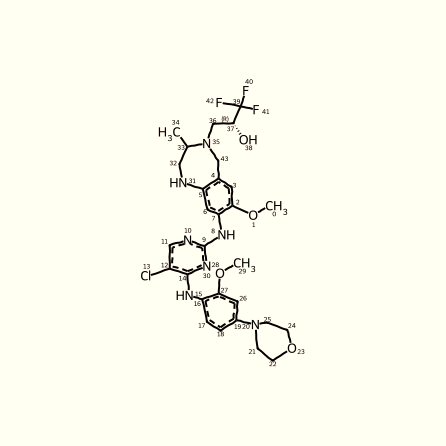 COc1cc2c(cc1Nc1ncc(Cl)c(Nc3ccc(N4CCOCC4)cc3OC)n1)NCC(C)N(C[C@@H](O)C(F)(F)F)C2